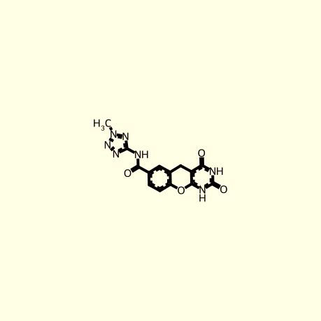 Cn1nnc(NC(=O)c2ccc3c(c2)Cc2c([nH]c(=O)[nH]c2=O)O3)n1